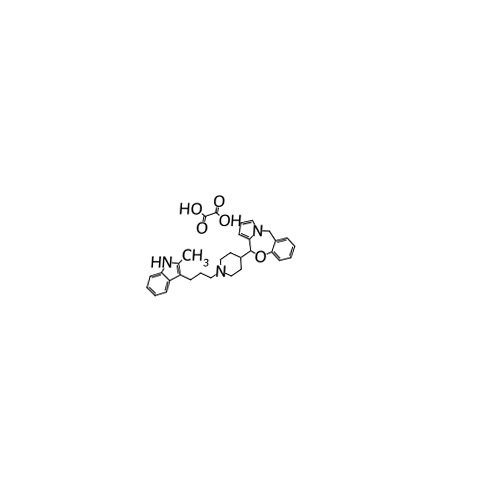 Cc1[nH]c2ccccc2c1CCCN1CCC(C2Oc3ccccc3Cn3cccc32)CC1.O=C(O)C(=O)O